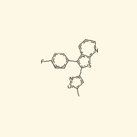 Cc1cc(-c2sc3ncccc3c2-c2ccc(F)cc2)no1